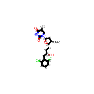 CCc1cn([C@@H]2CC(OC(C)=O)[C@H](CC[C@H](O)Cc3c(Cl)cccc3Cl)O2)c(=O)[nH]c1=O